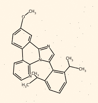 COc1ccc2c3cccnc3n3c(-c4c(C(C)C)cccc4C(C)C)cnc3c2c1